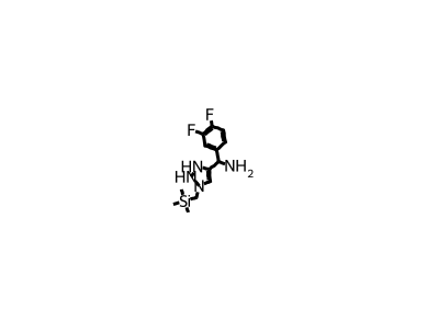 C[Si](C)(C)CN1C=C(C(N)c2ccc(F)c(F)c2)NN1